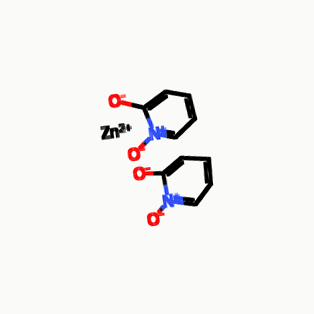 [O-]c1cccc[n+]1[O-].[O-]c1cccc[n+]1[O-].[Zn+2]